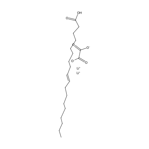 CCCCCCCCC=CCCCCCCCC(=O)O.O=C([O-])C(=O)[O-].[Li+].[Li+]